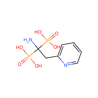 NC(Cc1ccccn1)(P(=O)(O)O)P(=O)(O)O